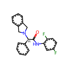 O=C(Nc1cc(F)ccc1F)[C@@H](c1ccccc1)N1Cc2ccccc2C1